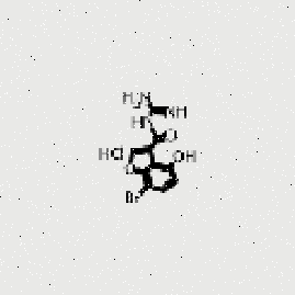 Cl.N=C(N)NC(=O)c1coc2c(Br)ccc(O)c12